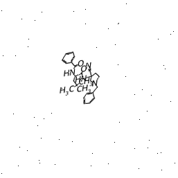 CC(C)(C)CC(NC(=O)c1ccccc1)C(=O)NC1(C#N)CCN(Cc2ccccc2)C1